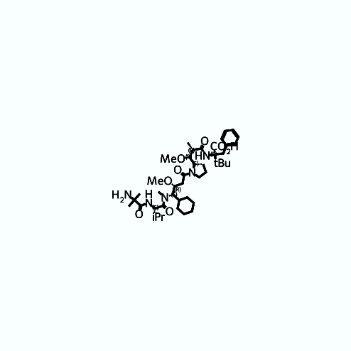 CO[C@H]([C@@H](C)C(=O)N[C@](Cc1ccccc1)(C(=O)O)C(C)(C)C)[C@@H]1CCCN1C(=O)C[C@@H](OC)[C@H](C1CCCCC1)N(C)C(=O)[C@@H](NC(=O)C(C)(C)N)C(C)C